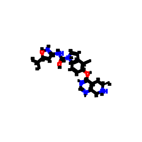 Cc1c(Oc2ncnc3c2C[C@H](C)NC3)ccc2c1ccn2C(=O)Nc1cc(C(C)C)on1